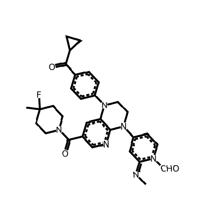 C/N=c1/cc(N2CCN(c3ccc(C(=O)C4CC4)cc3)c3cc(C(=O)N4CCC(C)(F)CC4)cnc32)ccn1C=O